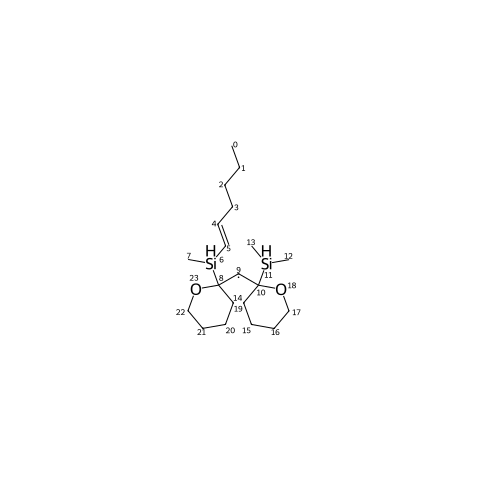 CCCCC=C[SiH](C)C1([CH]C2([SiH](C)C)CCCCO2)CCCCO1